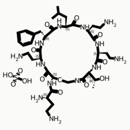 CC(C)C[C@@H]1NC(=O)[C@@H](Cc2ccccc2)NC(=O)[C@H](CCN)NC(=O)[C@@H](NC(=O)[C@@H](N)CCN)CCNC(=O)[C@H]([C@@H](C)O)NC(=O)[C@H](CCN)NC(=O)[C@H](CCN)NC1=O.O=S(=O)(O)O